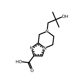 CC(C)(O)CN1CCn2cc(C(=O)O)nc2C1